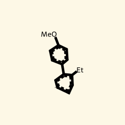 CCc1cc[c]cc1-c1ccc(OC)cc1